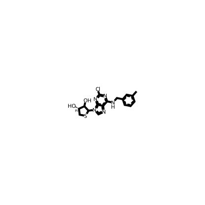 Cc1cccc(CNc2nc(Cl)nc3c2ncn3C2SC[C@H](O)C2O)c1